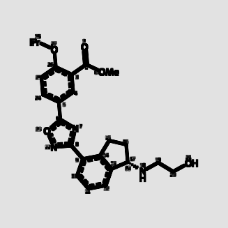 COC(=O)c1cc(-c2nc(-c3cccc4c3CC[C@@H]4NCCO)no2)ccc1OC(C)C